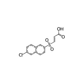 O=C(O)/C=C/S(=O)(=O)c1ccc2cc(Cl)ccc2c1